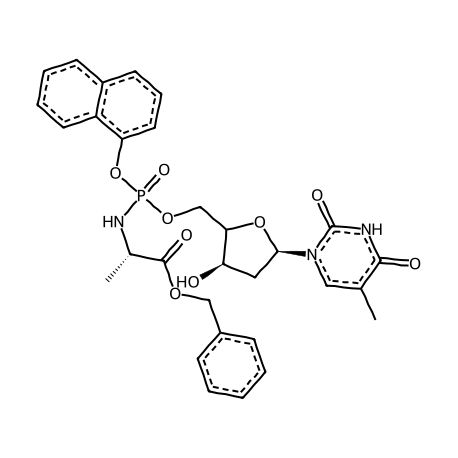 Cc1cn([C@H]2C[C@@H](O)C(COP(=O)(N[C@@H](C)C(=O)OCc3ccccc3)Oc3cccc4ccccc34)O2)c(=O)[nH]c1=O